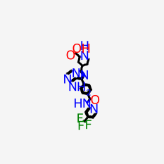 Nc1nccn2c(C3CCNC(C(=O)O)C3)nc(-c3ccc(C(=O)Nc4cc(C(F)(F)F)ccn4)cc3)c12